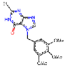 CCc1nc2ncn(Cc3cc(OC)c(OC)c(OC)c3)c2c(=O)[nH]1